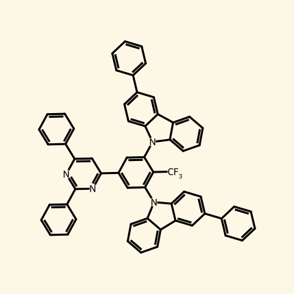 FC(F)(F)c1c(-n2c3ccccc3c3cc(-c4ccccc4)ccc32)cc(-c2cc(-c3ccccc3)nc(-c3ccccc3)n2)cc1-n1c2ccccc2c2cc(-c3ccccc3)ccc21